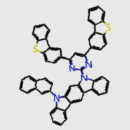 c1ccc2cc(-n3c4ccccc4c4cc5c6ccccc6n(-c6nc(-c7ccc8sc9ccccc9c8c7)cc(-c7ccc8sc9ccccc9c8c7)n6)c5cc43)ccc2c1